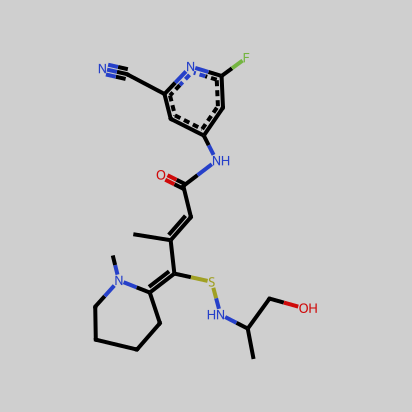 CC(=C\C(=O)Nc1cc(F)nc(C#N)c1)/C(SNC(C)CO)=C1/CCCCN1C